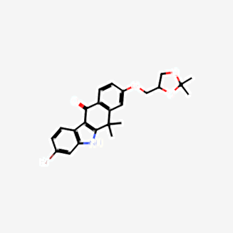 CC1(C)OCC(COc2ccc3c(c2)C(C)(C)c2[nH]c4cc(Br)ccc4c2C3=O)O1